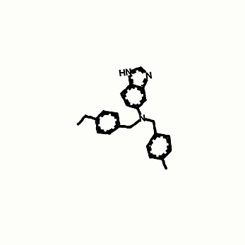 CCc1ccc(CN(Cc2ccc(C)cc2)c2ccc3[nH]cnc3c2)cc1